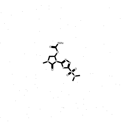 CNC(=O)OC1CN(C)C(=O)N1c1nnc(S(=O)(=O)N(C)C)s1